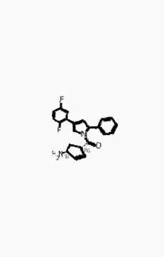 N[C@@H]1C=C[C@@H](C(=O)N2CC(c3cc(F)ccc3F)=CC2c2ccccc2)C1